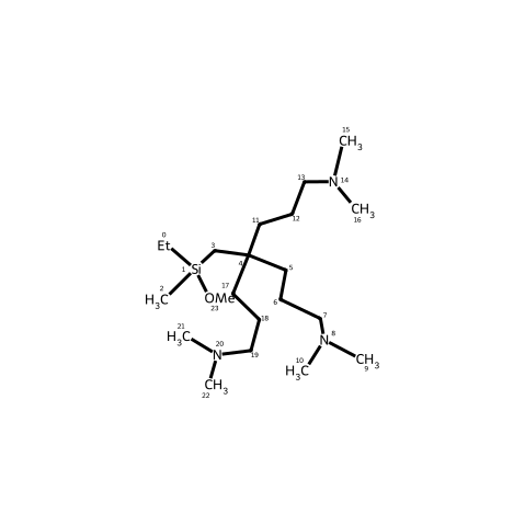 CC[Si](C)(CC(CCCN(C)C)(CCCN(C)C)CCCN(C)C)OC